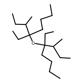 CCCCC(CC)(OC(CC)(CCCC)C(C)CC)C(C)CC